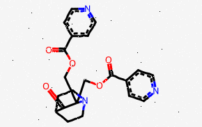 O=C(OCC1(COC(=O)c2ccncc2)C(=O)C2CCN1CC2)c1ccncc1